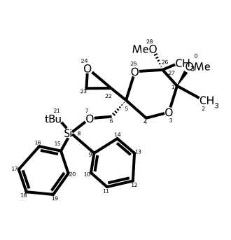 CO[C@@]1(C)OC[C@@](CO[Si](c2ccccc2)(c2ccccc2)C(C)(C)C)(C2CO2)O[C@]1(C)OC